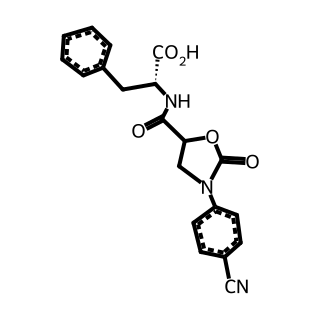 N#Cc1ccc(N2CC(C(=O)N[C@H](Cc3ccccc3)C(=O)O)OC2=O)cc1